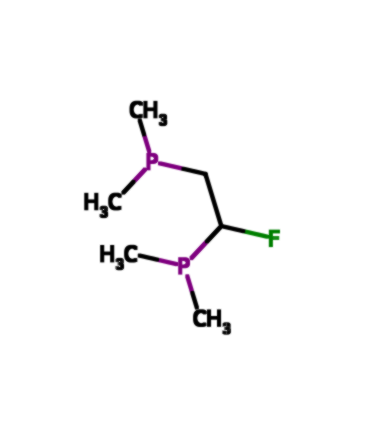 CP(C)CC(F)P(C)C